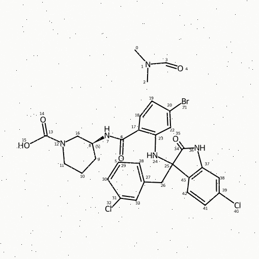 CN(C)C=O.O=C(N[C@H]1CCCN(C(=O)O)C1)c1ccc(Br)cc1NC1(Cc2cccc(Cl)c2)C(=O)Nc2cc(Cl)ccc21